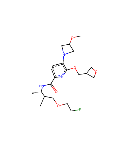 COC1CN(c2ccc(C(=O)N[C@@H](C)C(C)COCCF)nc2OCC2COC2)C1